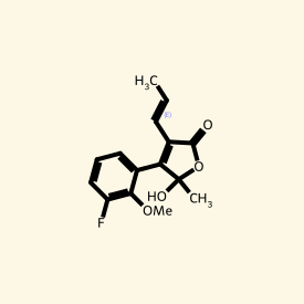 C/C=C/C1=C(c2cccc(F)c2OC)C(C)(O)OC1=O